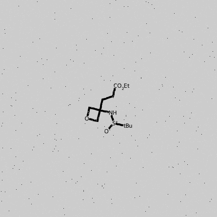 CCOC(=O)CCC1(N[S+]([O-])C(C)(C)C)COC1